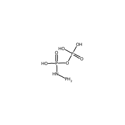 O=P(O)(O)OP(=O)(O)NP